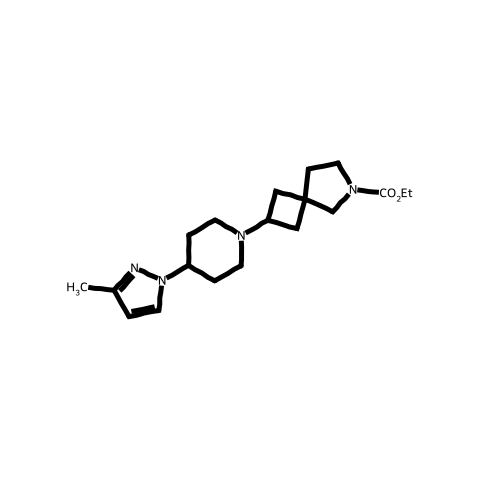 CCOC(=O)N1CCC2(CC(N3CCC(n4ccc(C)n4)CC3)C2)C1